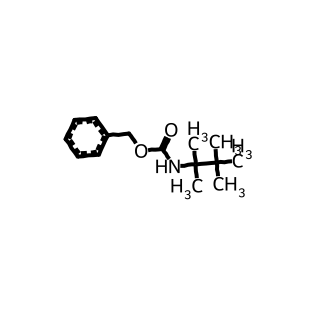 CC(C)(C)C(C)(C)NC(=O)OCc1ccccc1